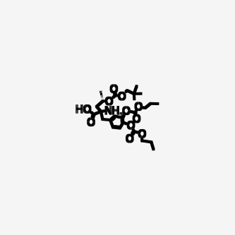 CCCOC(=O)Oc1ccc(CC(N)(C[C@H](C)OC(=O)OCC(C)(C)C)C(=O)O)cc1OC(=O)OCCC